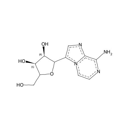 Nc1nccn2c(C3OC(CO)[C@@H](O)[C@H]3O)cnc12